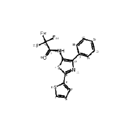 O=C(Nc1sc(-c2cccs2)nc1-c1ccccc1)C(F)(F)F